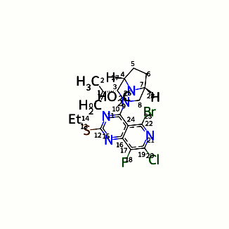 C=C(C)[C@@H]1[C@@H]2CC[C@H](CN1c1nc(SCC)nc3c(F)c(Cl)nc(Br)c13)N2C(=O)O